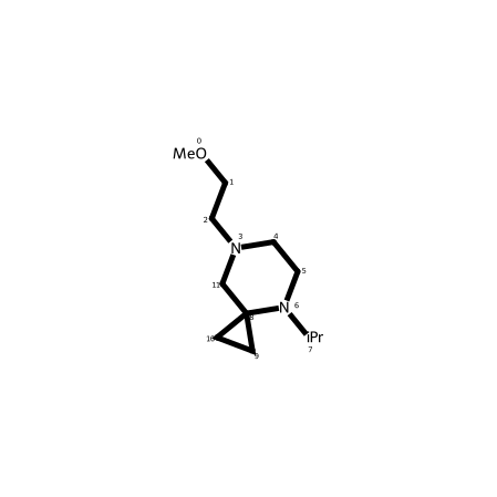 COCCN1CCN(C(C)C)C2(CC2)C1